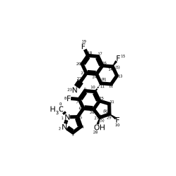 Cn1nccc1-c1c(F)cc([C@H]2CC[C@H](F)c3cc(F)cc(C#N)c32)c2c1[C@H](O)[C@H](F)C2